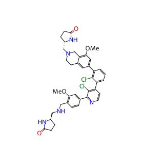 COc1cc(-c2nccc(-c3cccc(-c4cc5c(c(OC)c4)CN(C[C@@H]4CCC(=O)N4)CC5)c3Cl)c2Cl)ccc1CNC[C@H]1CCC(=O)N1